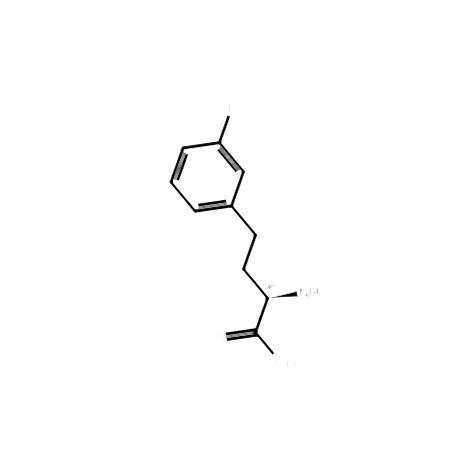 N[C@H](CCc1cc[c]c(F)c1)C(=O)O